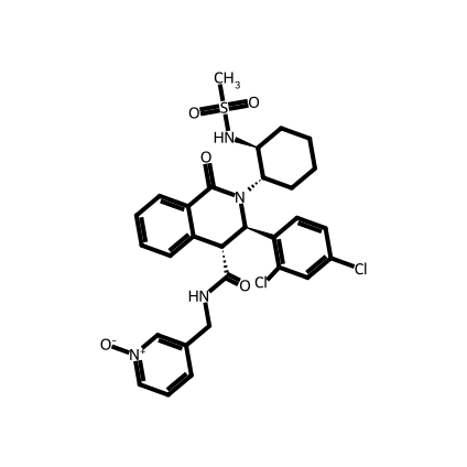 CS(=O)(=O)N[C@H]1CCCC[C@@H]1N1C(=O)c2ccccc2[C@@H](C(=O)NCc2ccc[n+]([O-])c2)[C@@H]1c1ccc(Cl)cc1Cl